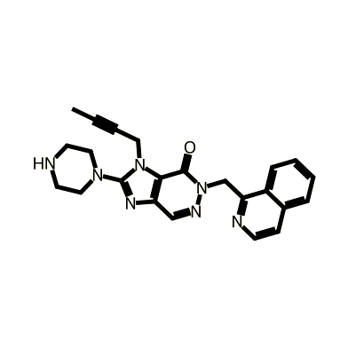 CC#CCn1c(N2CCNCC2)nc2cnn(Cc3nccc4ccccc34)c(=O)c21